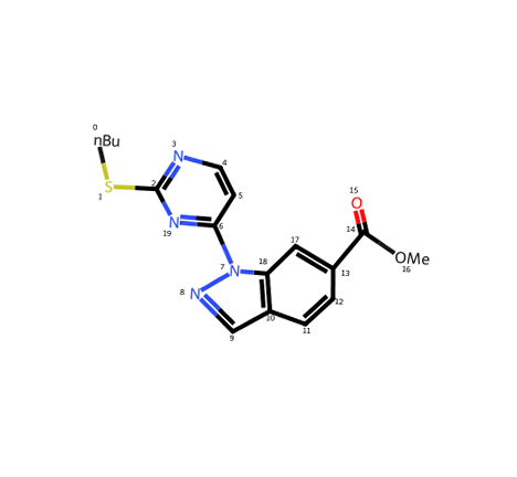 CCCCSc1nccc(-n2ncc3ccc(C(=O)OC)cc32)n1